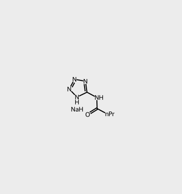 CCCC(=O)Nc1nnn[nH]1.[NaH]